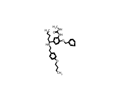 CCCCOc1ccc(CCNC(CCCC)c2ccc(OCc3ccccc3)c(NC(=O)NC)c2)cc1